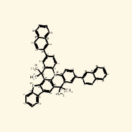 CC1(C)c2cc(-c3ccc4ccccc4c3)ccc2N2c3ccc(-c4ccc5ccccc5c4)cc3C(C)(C)c3c2c1cc1c3oc2ccccc21